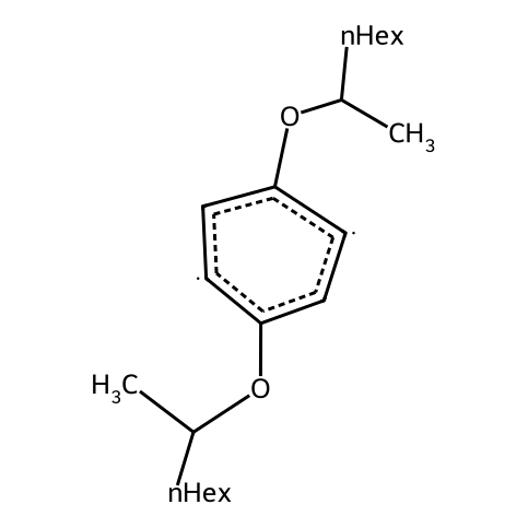 CCCCCCC(C)Oc1[c]cc(OC(C)CCCCCC)[c]c1